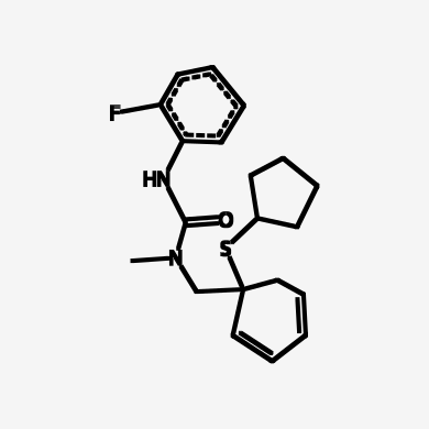 CN(CC1(SC2CCCC2)C=CC=CC1)C(=O)Nc1ccccc1F